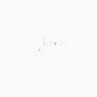 COc1ccc(/C=N/c2ccc(Nc3ccc(/N=C/c4ccc(OC)cc4)cc3)cc2)cc1